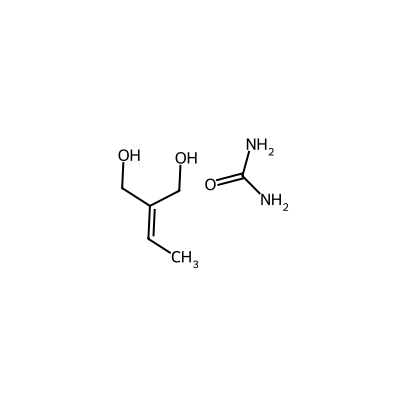 CC=C(CO)CO.NC(N)=O